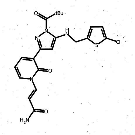 CC(C)(C)C(=O)n1nc(-c2cccn(C=CC(N)=O)c2=O)cc1NCc1ccc(Cl)s1